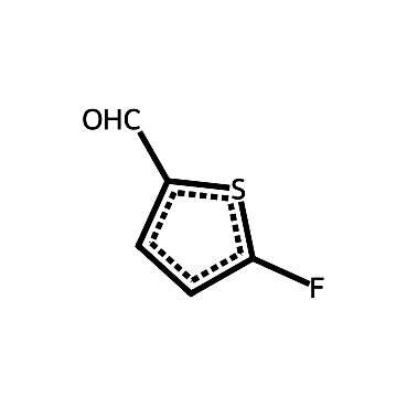 O=Cc1ccc(F)s1